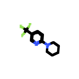 FC(F)(F)c1ccc(N2CCCCC2)nc1